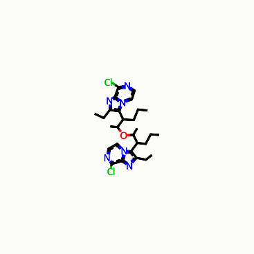 CCCC(c1c(CC)nc2c(Cl)nccn12)C(C)OC(C)C(CCC)c1c(CC)nc2c(Cl)nccn12